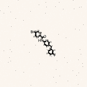 O=C(Nc1ccc(Cc2cccc(F)c2)cn1)c1ncc(Br)cn1